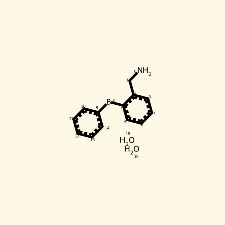 NCc1ccccc1[B]c1ccccc1.O.O